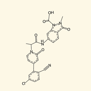 CC(C(=O)Nc1ccc2c(=O)n(C)n(C(=O)O)c2c1)n1ccc(-c2cc(Cl)ccc2C#N)cc1=O